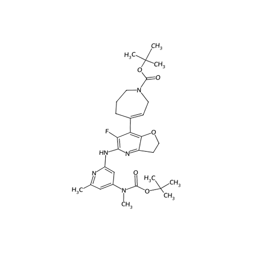 Cc1cc(N(C)C(=O)OC(C)(C)C)cc(Nc2nc3c(c(C4=CCN(C(=O)OC(C)(C)C)CCC4)c2F)OCC3)n1